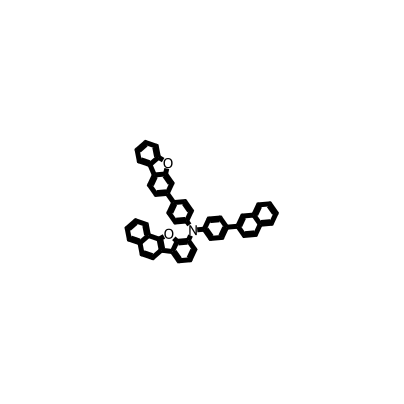 c1ccc2cc(-c3ccc(N(c4ccc(-c5ccc6c(c5)oc5ccccc56)cc4)c4cccc5c4oc4c6ccccc6ccc54)cc3)ccc2c1